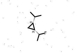 CC(C)[C@H]1C[C@H]1C(C)F